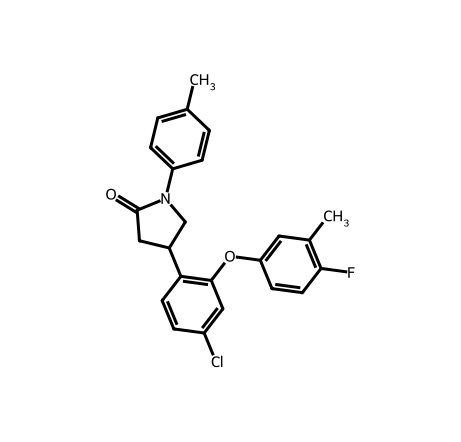 Cc1ccc(N2CC(c3ccc(Cl)cc3Oc3ccc(F)c(C)c3)CC2=O)cc1